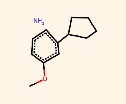 COc1cccc(C2CCCC2)c1.N